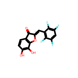 O=C1/C(=C/c2c(F)c(F)cc(F)c2F)Oc2c1ccc(O)c2O